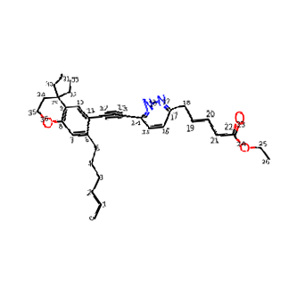 CCCCCCc1cc2c(cc1C#Cc1ccc(CCCCC(=O)OCC)nn1)C(CC)(CC)CCO2